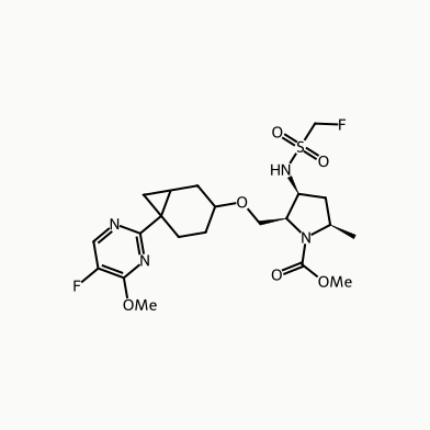 COC(=O)N1[C@H](C)C[C@H](NS(=O)(=O)CF)[C@@H]1COC1CCC2(c3ncc(F)c(OC)n3)CC2C1